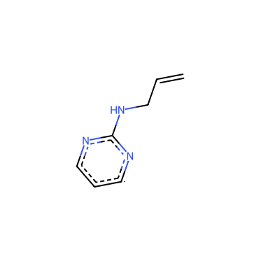 C=CCNc1n[c]ccn1